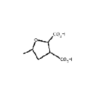 CC1CC(C(=O)O)C(C(=O)O)O1